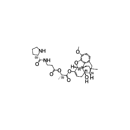 COc1ccc2c3c1O[C@H]1C(OC(=O)[C@H](C)OC(=O)CCNC(=O)[C@@H]4CCCN4)=CC[C@@]4(O)[C@@H](C2)C(C)CC[C@]314